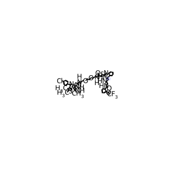 CC(=N)N1C(=N)[C@H](CC(=O)NCCOCCOCCNC(=O)CSC2=Nc3ccccc3/C(=C/C(=N)CNC(=O)c3ccccc3OC(F)(F)F)N2)N=C(c2ccc(Cl)cc2)c2c1sc(C)c2C